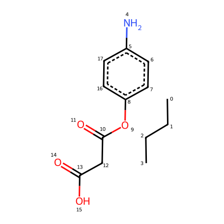 CCCC.Nc1ccc(OC(=O)CC(=O)O)cc1